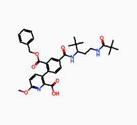 COc1ccc(-c2ccc(C(=O)NC(CCNC(=O)C(C)(C)C)C(C)(C)C)cc2C(=O)OCc2ccccc2)c(C(=O)O)n1